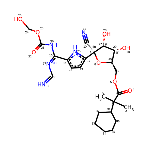 CC(C)(C(=O)OC[C@H]1O[C@@](C#N)(c2ccc(/C(=N\C=N)NC(=O)OCO)[nH]2)[C@H](O)[C@@H]1O)C1CCCCC1